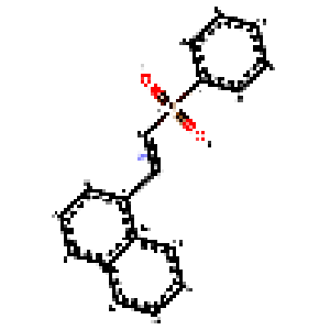 O=S(=O)(/C=C/c1cccc2ccccc12)c1ccccc1